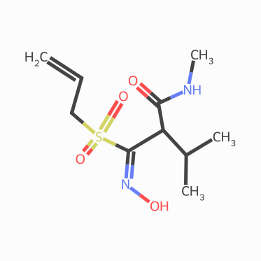 C=CCS(=O)(=O)C(=NO)C(C(=O)NC)C(C)C